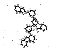 CC1(C)c2ccccc2-c2nc(-c3cccc(-c4nc5ccccc5o4)c3)nc(-c3cccc(-c4cccc5c4oc4ccccc45)c3)c21